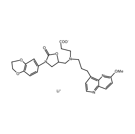 COc1ccc2nccc(CCCN(CCC(=O)[O-])CC3CN(c4ccc5c(c4)OCCO5)C(=O)O3)c2n1.[Li+]